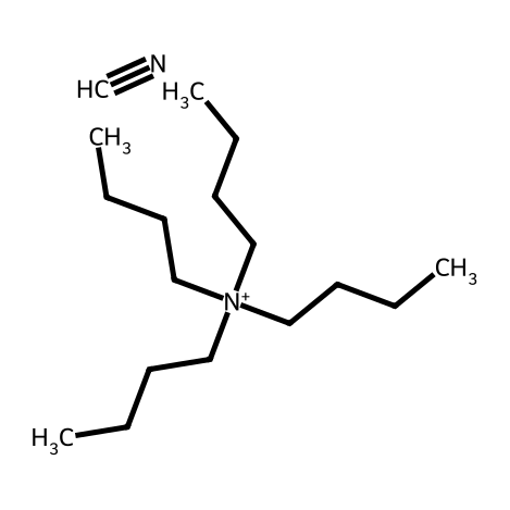 C#N.CCCC[N+](CCCC)(CCCC)CCCC